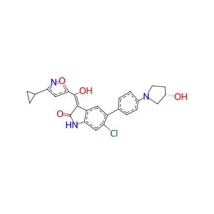 O=C1Nc2cc(Cl)c(-c3ccc(N4CC[C@H](O)C4)cc3)cc2C1=C(O)c1cc(C2CC2)no1